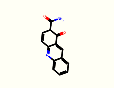 NC(=O)C1C=Cc2nc3ccccc3cc2C1=O